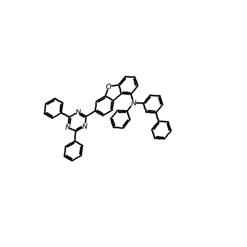 c1ccc(-c2cccc(N(c3ccccc3)c3cccc4oc5cc(-c6nc(-c7ccccc7)nc(-c7ccccc7)n6)ccc5c34)c2)cc1